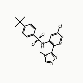 Cn1cnnc1-c1ncc(Cl)cc1NS(=O)(=O)c1ccc(C(C)(C)C)cc1